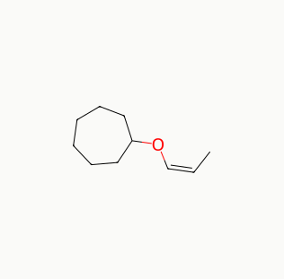 C/C=C\OC1CCCCCC1